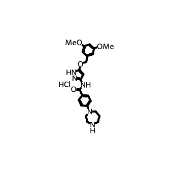 COc1cc(COc2cc(NC(=O)c3ccc(N4CCCNCC4)cc3)n[nH]2)cc(OC)c1.Cl